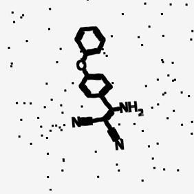 N#CC(C#N)=C(N)c1ccc(Oc2ccccc2)cc1